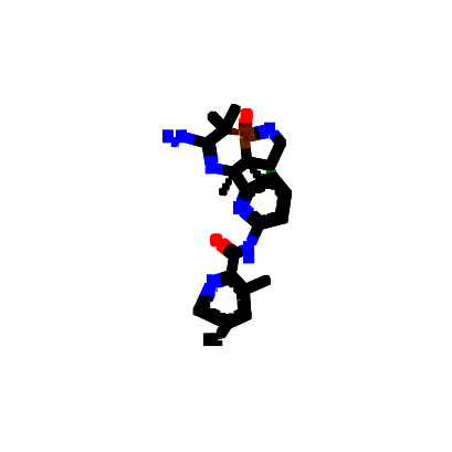 Cc1cc(C#N)cnc1C(=O)Nc1ccc(F)c([C@@]2(C)N=C(N)C(C)(C)[S@]3(=O)=NCC[C@@H]23)n1